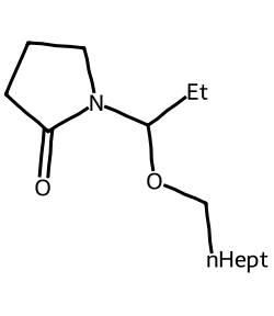 CCCCCCCCOC(CC)N1CCCC1=O